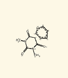 CN1C(=O)CC(=O)N(C)C1=O.c1ccncc1